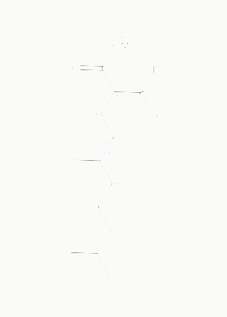 CCC(=O)C(C/C=C(\C)CCC=C(C)C)C(=O)OC